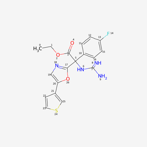 CCOC(=O)C(NC(=N)N)(c1ccc(F)cc1)c1ncc(-c2ccsc2)o1